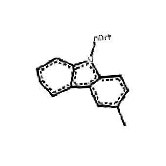 CCCCCCCCn1c2ccccc2c2cc(C)ccc21